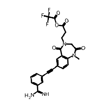 CN1C(=O)CN(CCC(=O)OC(=O)C(F)(F)F)C(=O)c2cc(C#Cc3cccc(C(=N)N)c3)ccc21